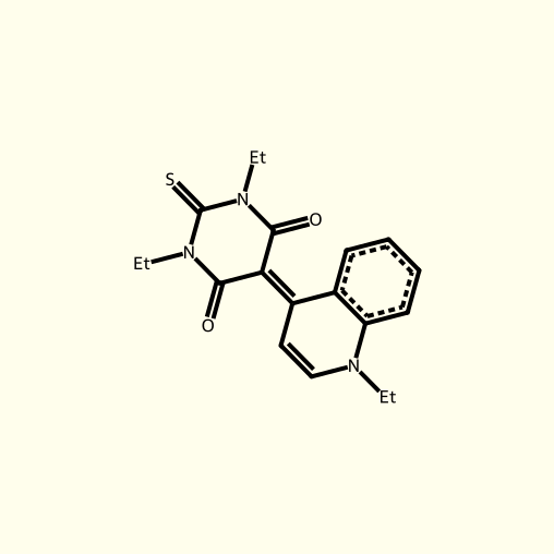 CCN1C(=O)C(=C2C=CN(CC)c3ccccc32)C(=O)N(CC)C1=S